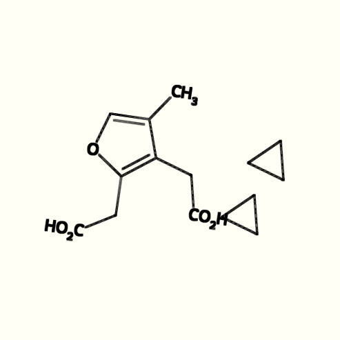 C1CC1.C1CC1.Cc1coc(CC(=O)O)c1CC(=O)O